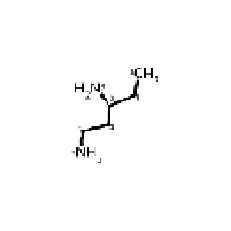 CC[C@H](N)CCN